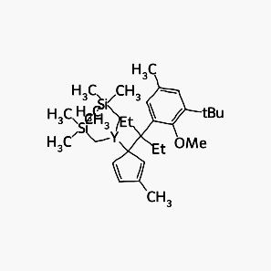 CCC(CC)(c1cc(C)cc(C(C)(C)C)c1OC)[C]1([Y]([CH2][Si](C)(C)C)[CH2][Si](C)(C)C)C=CC(C)=C1